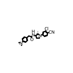 C[C@H]1C(NC(=O)Cc2ccc(N(C)C)cc2)CCN1c1ccc(C#N)c(Cl)c1